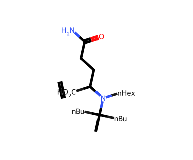 C=C.CCCCCCN(C(CCC(N)=O)C(=O)O)C(C)(CCCC)CCCC